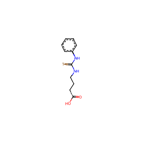 O=C(O)CCCNC(=S)Nc1ccccc1